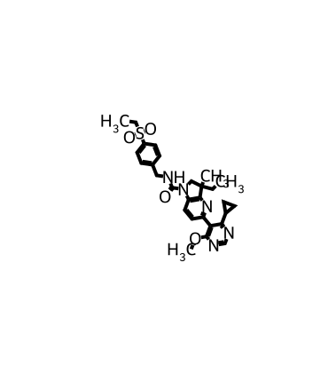 CCC1(C)CN(C(=O)NCc2ccc(S(=O)(=O)CC)cc2)c2ccc(-c3c(OC)ncnc3C3CC3)nc21